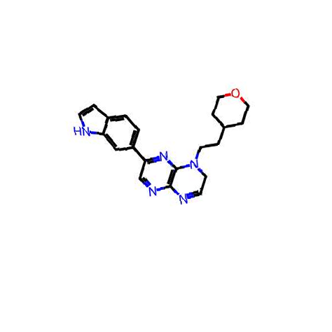 C1=Nc2ncc(-c3ccc4cc[nH]c4c3)nc2N(CCC2CCOCC2)C1